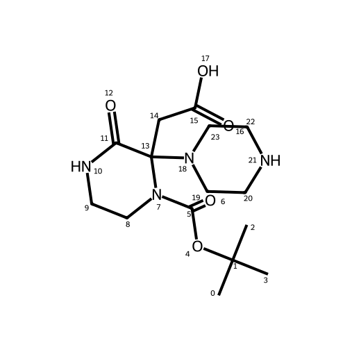 CC(C)(C)OC(=O)N1CCNC(=O)C1(CC(=O)O)N1CCNCC1